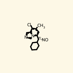 Cc1cc([C@H](N=O)C2CCCCC2)n2cncc2c1Cl